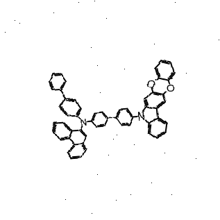 c1ccc(-c2ccc(N(c3ccc(-c4ccc(-n5c6ccccc6c6cc7c(cc65)Oc5ccccc5O7)cc4)cc3)c3cc4ccccc4c4ccccc34)cc2)cc1